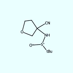 CC(C)(C)[S+]([O-])NC1(C#N)CCOC1